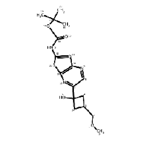 COCC1CC(O)(c2cnc3nc(NC(=O)OC(C)(C)C)sc3n2)C1